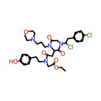 CCOC(=O)CN(CCc1ccc(O)cc1)C(=O)CC1C(=O)N(C(Cl)Cc2ccc(Cl)cc2)CC(=O)N1CCCN1CCOCC1